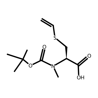 C=CSC[C@@H](C(=O)O)N(C)C(=O)OC(C)(C)C